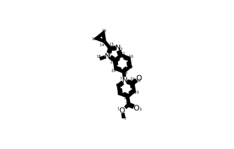 COC(=O)c1ccn(-c2ccc3nc(C4CC4)n(C)c3c2)c(=O)c1